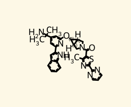 Cc1nc(-c2ncccn2)sc1C(=O)N1C[C@@H]2[C@H](C1)[C@@H]2Oc1cc(C(C)(C)N)cc(-c2cc3ccccc3[nH]2)n1